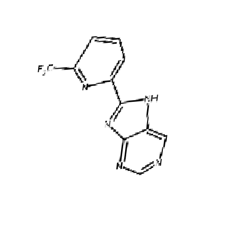 FC(F)(F)c1cccc(-c2nc3ncncc3[nH]2)n1